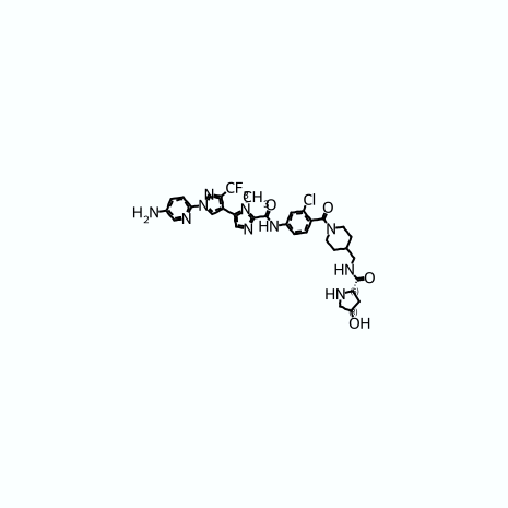 Cn1c(-c2cn(-c3ccc(N)cn3)nc2C(F)(F)F)cnc1C(=O)Nc1ccc(C(=O)N2CCC(CNC(=O)[C@@H]3C[C@@H](O)CN3)CC2)c(Cl)c1